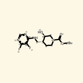 CC(C)(C)OC(=O)N1CC[C@H](CNc2ncnc(F)c2F)[C@@H](O)C1